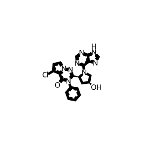 O=c1c2c(Cl)ccn2nc([C@@H]2C[C@H](O)CN2c2ncnc3[nH]cnc23)n1-c1ccccc1